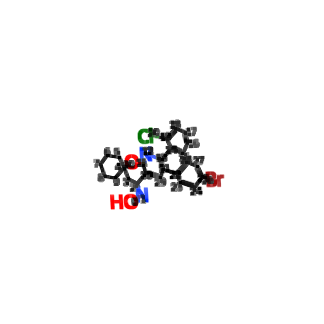 ON=C1CC2(CCCCC2)Oc2nc(-c3ccccc3Cl)c(-c3ccc(Br)cc3)cc21